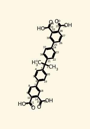 CC(C)(c1ccc(-c2ccc(C(=O)O)c(C(=O)O)c2)cc1)c1ccc(-c2ccc(C(=O)O)c(C(=O)O)c2)cc1